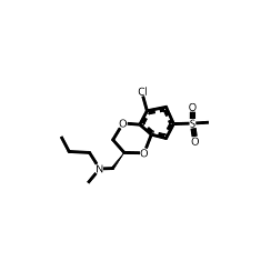 CCCN(C)C[C@H]1COc2c(Cl)cc(S(C)(=O)=O)cc2O1